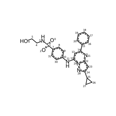 O=S(=O)(NCCO)c1ccc(Nc2cc(-c3ccccc3)nc3cc(C4CC4)nn23)cc1